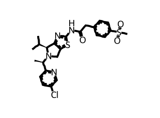 CC(C)[C@H]1c2nc(NC(=O)Cc3ccc(S(C)(=O)=O)cc3)sc2CN1[C@H](C)c1ccc(Cl)cn1